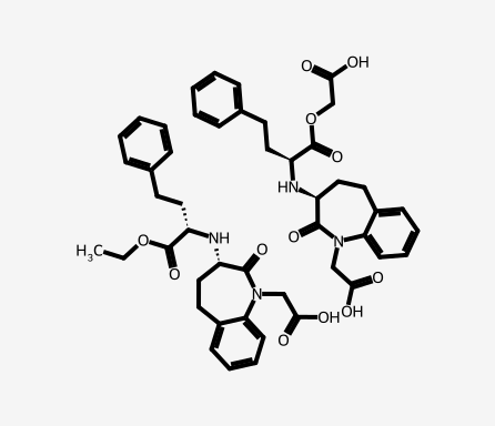 CCOC(=O)[C@H](CCc1ccccc1)N[C@H]1CCc2ccccc2N(CC(=O)O)C1=O.O=C(O)COC(=O)[C@H](CCc1ccccc1)N[C@H]1CCc2ccccc2N(CC(=O)O)C1=O